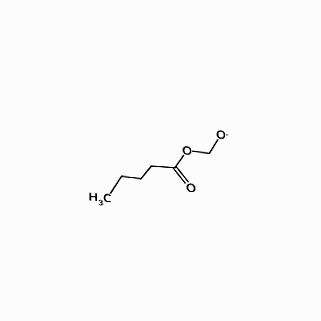 CCCCC(=O)OC[O]